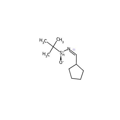 CC(C)(C)[S@+]([O-])/N=C\C1CCCC1